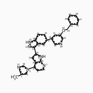 Cc1cn(-c2ccnc3[nH]c(-c4n[nH]c5ccc(-c6cncc(OCc7ccccc7)c6)cc45)cc23)cn1